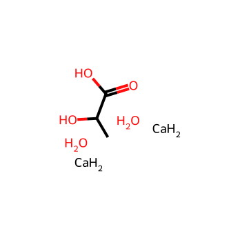 CC(O)C(=O)O.O.O.[CaH2].[CaH2]